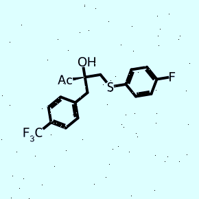 CC(=O)[C@@](O)(CSc1ccc(F)cc1)Cc1ccc(C(F)(F)F)cc1